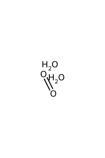 O.O.O=O